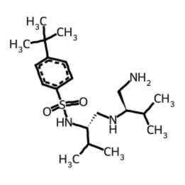 CC(C)[C@H](CN)NC[C@@H](NS(=O)(=O)c1ccc(C(C)(C)C)cc1)C(C)C